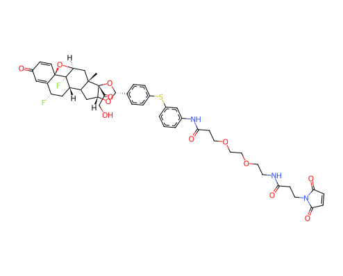 C[C@]12C[C@@H]3O[C@]45C=CC(=O)C=C4[C@@H](F)C[C@@H](C1C[C@H]1O[C@@H](c4ccc(Sc6cccc(NC(=O)CCOCCOCCNC(=O)CCN7C(=O)C=CC7=O)c6)cc4)O[C@]12C(=O)CO)[C@]35F